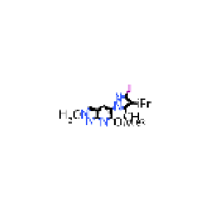 COc1nc2nn(C)cc2cc1-n1nc(I)c(C(C)C)c1C